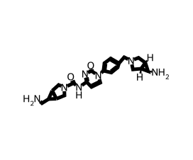 NCC1C2CN(C(=O)Nc3ccn(-c4ccc(CN5C[C@@H]6[C@@H](N)[C@@H]6C5)cc4)c(=O)n3)CC12